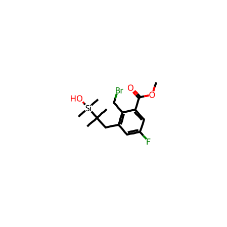 COC(=O)c1cc(F)cc(CC(C)(C)[Si](C)(C)O)c1CBr